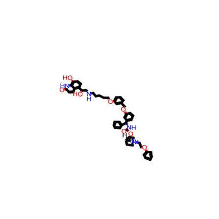 O=C(NC(c1ccccc1)c1cccc(OCc2cccc(OCCCCCNCC(O)c3ccc(O)c4[nH]c(=O)ccc34)c2)c1)O[C@H]1C[N+]2(CCOc3ccccc3)CCC1CC2